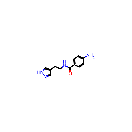 Nc1ccc(C(=O)NCCc2cn[nH]c2)cc1